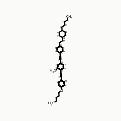 CCCCCOc1ccc(C#Cc2ccc(C#Cc3ccc(CCC4CCC(CCCCC)CC4)cc3)cc2C)cc1